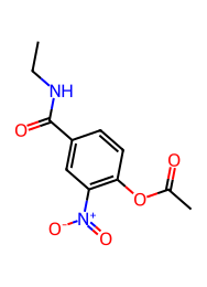 CCNC(=O)c1ccc(OC(C)=O)c([N+](=O)[O-])c1